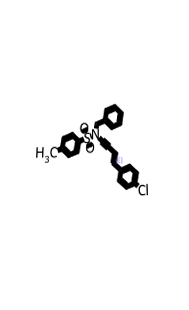 Cc1ccc(S(=O)(=O)N(C#C/C=C/c2ccc(Cl)cc2)Cc2ccccc2)cc1